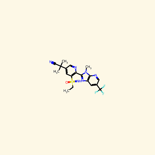 CC[S@@](=N)(=O)c1cc(C(C)(C)C#N)cnc1-c1nc2cc(C(F)(F)F)cnc2n1C